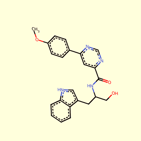 COc1ccc(-c2cc(C(=O)NC(CO)Cc3c[nH]c4ccccc34)ncn2)cc1